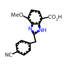 COc1ccc(C(=O)O)c2[nH]c(Cc3ccc(C#N)cc3)nc12